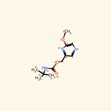 COc1cncc(COC(=O)NC(C)(C)C)n1